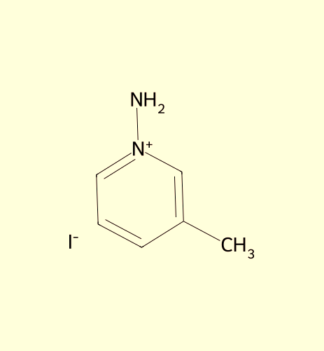 Cc1ccc[n+](N)c1.[I-]